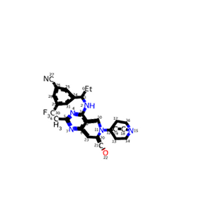 CCC(Nc1nc(C)nc2c1=CN(C13CCN(CC1)CC3)C(=C=O)C=2)c1cc(C#N)cc(C(F)(F)F)c1